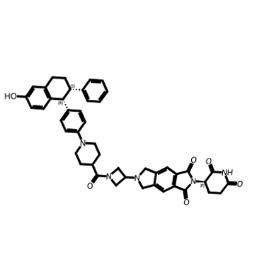 O=C1CC[C@@H](N2C(=O)c3cc4c(cc3C2=O)CN(C2CN(C(=O)C3CCN(c5ccc([C@@H]6c7ccc(O)cc7CC[C@@H]6c6ccccc6)cc5)CC3)C2)C4)C(=O)N1